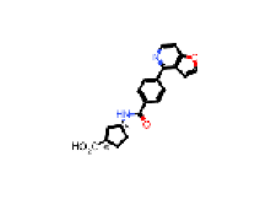 O=C(N[C@@H]1CC[C@@H](C(=O)O)C1)c1ccc(-c2nccc3occc23)cc1